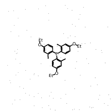 CCOc1ccc(P(c2ccc(OCC)cc2C)c2ccc(OCC)cc2C)c(C)c1